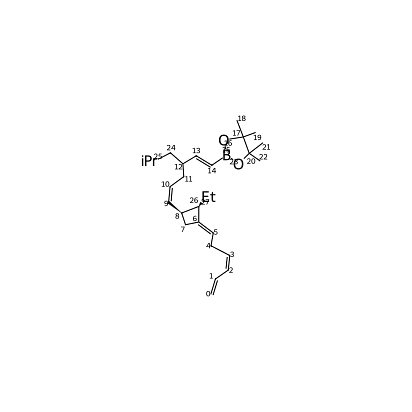 C=C/C=C\C/C=C1\C[C@@H](/C=C\CC(/C=C/B2OC(C)(C)C(C)(C)O2)CC(C)C)[C@H]1CC